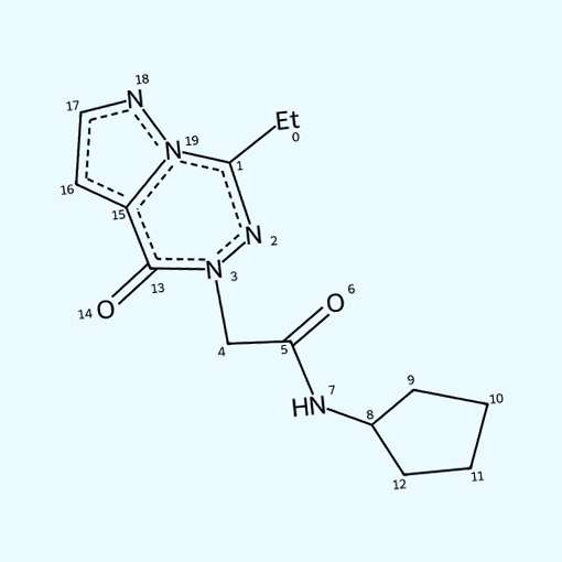 CCc1nn(CC(=O)NC2CCCC2)c(=O)c2ccnn12